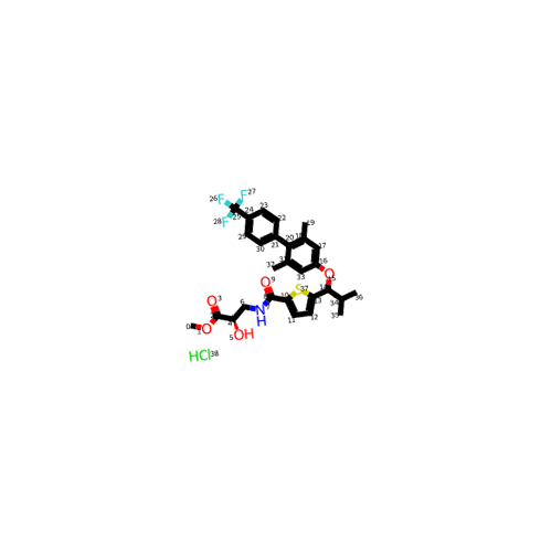 COC(=O)[C@H](O)CNC(=O)c1ccc(C(Oc2cc(C)c(-c3ccc(C(F)(F)F)cc3)c(C)c2)C(C)C)s1.Cl